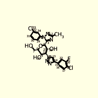 Cc1nc([C@@H]2O[C@H](CO)[C@H](O)[C@H](n3cc(-c4ccc(Cl)c(F)c4)nn3)[C@H]2O)n(-c2cccc(Cl)c2)n1